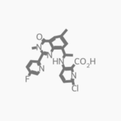 Cc1cc(C(C)Nc2ccc(Cl)nc2C(=O)O)c2nc(-c3ccc(F)cn3)n(C)c(=O)c2c1